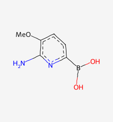 COc1ccc(B(O)O)nc1N